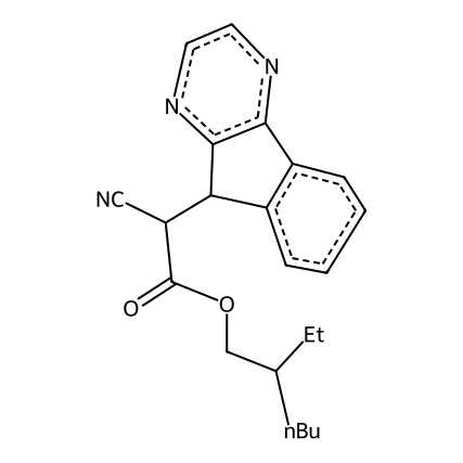 CCCCC(CC)COC(=O)C(C#N)C1c2ccccc2-c2nccnc21